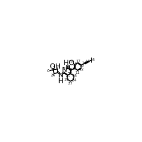 CC1(O)CC(Nc2nnc(-c3ccc(C#CI)cc3O)c3c2CCCC3)C1